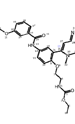 CCOC(=O)NCCOc1ccc(NC(=O)c2cccc(OC)c2)cc1/C(=C/C=N)N(C)C